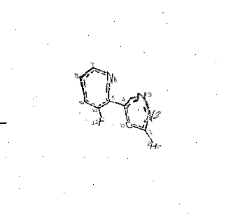 [2H]c1nnc(-c2ncccc2F)o1